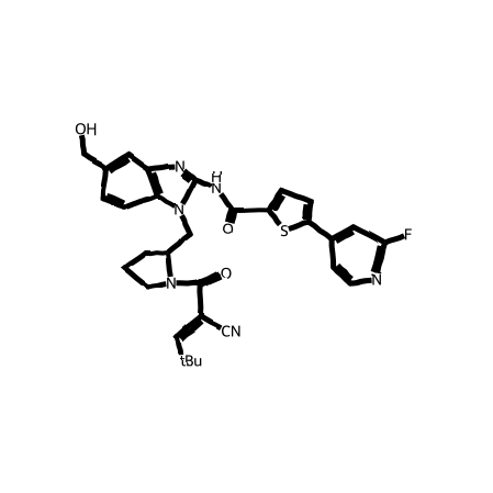 CC(C)(C)C=C(C#N)C(=O)N1CCCC1Cn1c(NC(=O)c2ccc(-c3ccnc(F)c3)s2)nc2cc(CO)ccc21